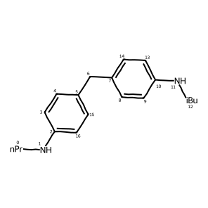 CCCNc1ccc(Cc2ccc(NC(C)CC)cc2)cc1